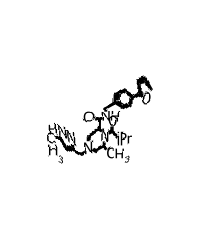 Cc1cc(CN2CC(C)N(C(=O)C(C)C)C(C(=O)NCc3ccc(-c4ccco4)cc3)C2)n[nH]1